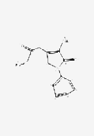 CCCCC1=C(CC(=O)OC(C)(C)C)CN(c2ccccc2)C1=O